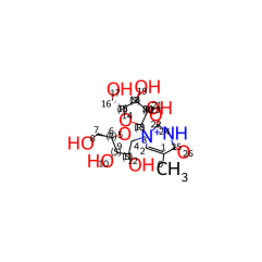 CC1=C[N+](C2O[C@H](CO)[C@@H](O)[C@@H]2O)([C@@H]2O[C@H](CO)[C@@H](O)[C@H]2O)C(=O)NC1=O